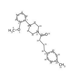 COc1ccccc1N1CCN(C(=O)CCCc2ccc(C)cc2)CC1